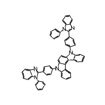 c1ccc(-n2c(-c3ccc(-n4c5ccccc5c5c6c7ccccc7n(-c7ccc(-c8nc9ccccc9n8-c8ccccc8)cc7)c6ccc54)cc3)nc3ccccc32)cc1